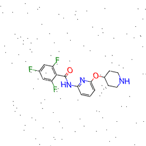 O=C(Nc1cccc(OC2CCNCC2)n1)c1c(F)cc(F)cc1F